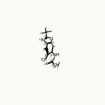 CC(C)(C)c1nc2cc(Cl)c(NC(=S)S)cc2o1